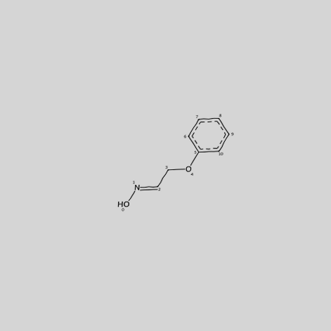 O/N=C/COc1ccccc1